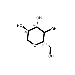 OC[C@@H]1OC[C@@H](O)[C@H](O)[C]1O